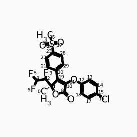 C[C@@]1(C(F)C(F)F)OC(=O)C(Oc2ccc(Cl)cc2)=C1c1ccc(S(C)(=O)=O)cc1